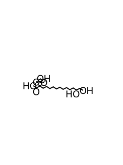 O=C(O)C(CCCCCCCCCCC(O)CO)S(=O)(=O)O